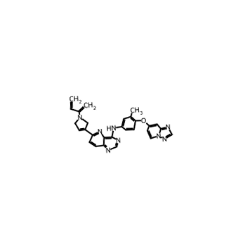 C=CC(=C)N1CC=C(c2ccc3ncnc(Nc4ccc(Oc5ccn6ncnc6c5)c(C)c4)c3n2)C1